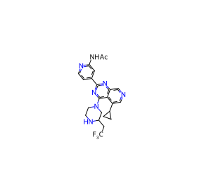 CC(=O)Nc1cc(-c2nc(N3CCNC(CC(F)(F)F)C3)c3c(C4CC4)cncc3n2)ccn1